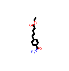 CCOC(=O)/C=C/C=C/c1ccc(C(N)=O)cc1